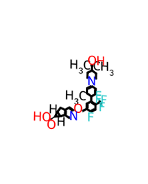 CC1C=C(N2CCC(C(C)(C)O)CC2)C=C(F)C1c1cc(COc2cc3c(cn2)[C@H]2[C@@H](C3)[C@@H]2C(=O)O)c(F)cc1C(F)(F)F